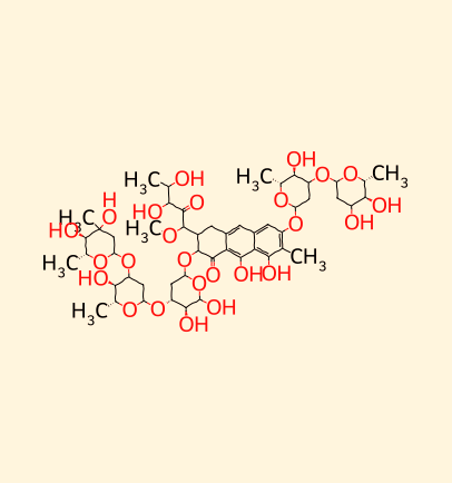 COC(C(=O)C(O)C(C)O)C1Cc2cc3cc(OC4CC(OC5CC(O)[C@H](O)[C@@H](C)O5)[C@H](O)[C@@H](C)O4)c(C)c(O)c3c(O)c2C(=O)C1OC1C[C@@H](OC2CC(OC3CC(C)(O)[C@H](O)[C@@H](C)O3)[C@H](O)[C@@H](C)O2)[C@H](O)C(O)O1